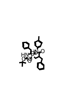 Cc1ccc(NC(=O)C(Cc2ccccc2)CP(=O)(O)C(Cc2ccccc2)NC(=O)OC(C)(C)C)cc1